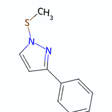 CSn1ccc(-c2ccccc2)n1